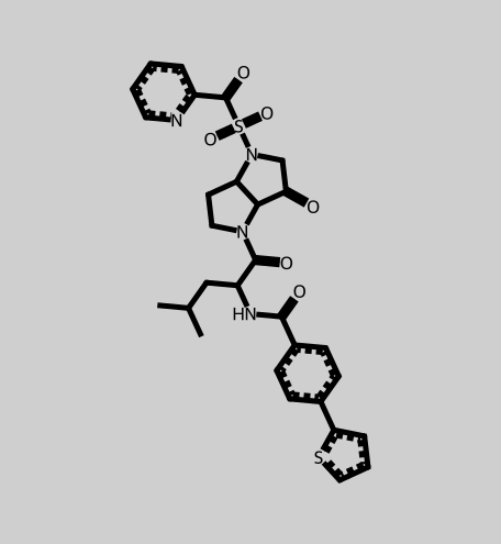 CC(C)CC(NC(=O)c1ccc(-c2cccs2)cc1)C(=O)N1CCC2C1C(=O)CN2S(=O)(=O)C(=O)c1ccccn1